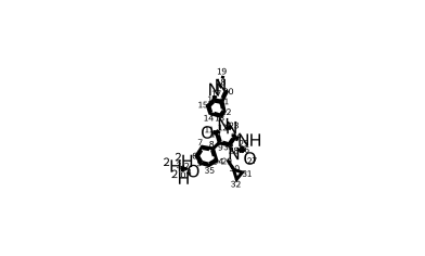 [2H]C([2H])([2H])Oc1ccc(-c2c(=O)n(-c3ccc4nn(C)cc4c3)nc3[nH]c(=O)n(CC4CC4)c23)cc1